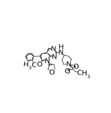 CCS(=O)(=O)N1CCC(Nc2ncc3cc(-c4ccccc4C)c(=O)n([C@@H]4CCOC4)c3n2)CC1